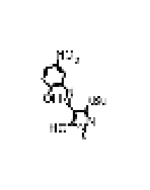 Cn1nc(C(C)(C)C)c(N=Nc2cc([N+](=O)[O-])ccc2O)c1O